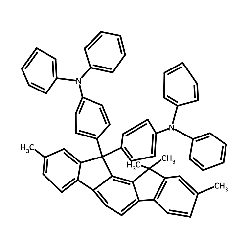 Cc1ccc2c(c1)C(C)(C)c1c-2ccc2c1C(c1ccc(N(c3ccccc3)c3ccccc3)cc1)(c1ccc(N(c3ccccc3)c3ccccc3)cc1)c1cc(C)ccc1-2